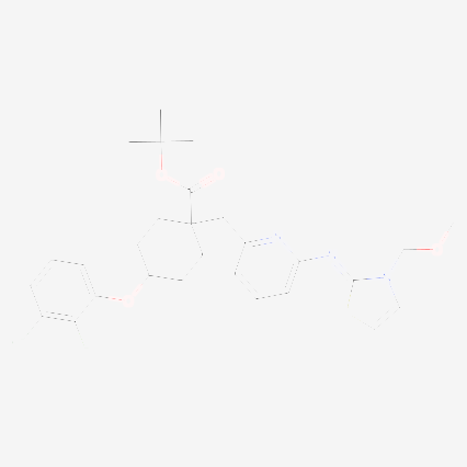 COCn1ccs/c1=N\c1cccc(CC2(C(=O)OC(C)(C)C)CCC(Oc3cccc(Cl)c3F)CC2)n1